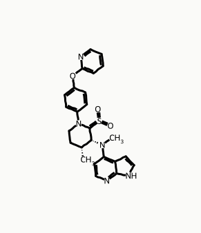 C[C@@H]1CCN(c2ccc(Oc3ccccn3)cc2)C(=S(=O)=O)[C@@H]1N(C)c1ccnc2[nH]ccc12